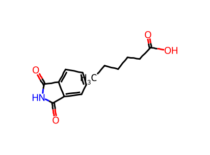 CCCCCC(=O)O.O=C1NC(=O)c2ccccc21